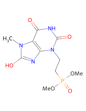 COP(=O)(CCn1c(=O)[nH]c(=O)c2c1nc(O)n2C)OC